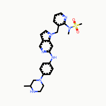 CC1CN(c2ccc(Nc3cc4c(ccn4Cc4cccnc4N(C)S(C)(=O)=O)cn3)cc2)CCN1